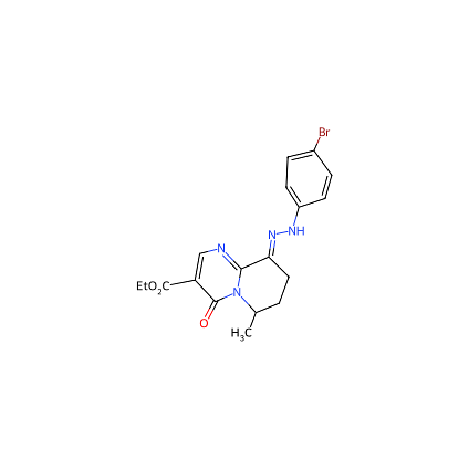 CCOC(=O)c1cnc2n(c1=O)C(C)CCC2=NNc1ccc(Br)cc1